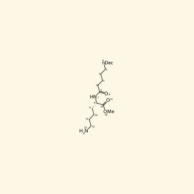 CCCCCCCCCCCCCCC(=O)N[C@@H](CCCCN)C(=O)OC